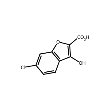 O=C(O)c1oc2cc(Cl)ccc2c1O